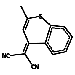 CC1=CC(=C(C#N)C#N)c2ccccc2S1